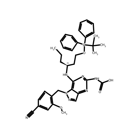 CCC[C@@H](CCO[Si](c1ccccc1)(c1ccccc1)C(C)(C)C)Nc1nc(NC(=O)O)nc2cnn(Cc3ccc(C#N)cc3OC)c12